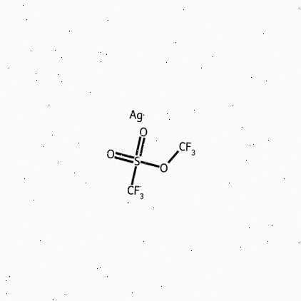 O=S(=O)(OC(F)(F)F)C(F)(F)F.[Ag]